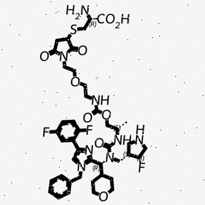 C[C@@H](COC(=O)NCCOCCN1C(=O)CC(SC[C@H](N)C(=O)O)C1=O)NC(=O)N(C[C@@H]1CNC[C@@H]1F)[C@@H](c1nc(-c2cc(F)ccc2F)cn1Cc1ccccc1)C1CCOCC1